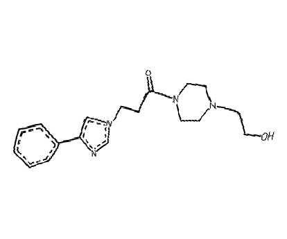 O=C(CCn1cnc(-c2ccccc2)c1)N1CCN(CCO)CC1